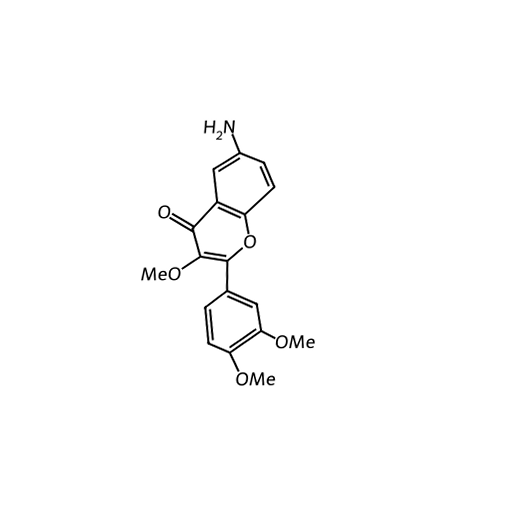 COc1ccc(-c2oc3ccc(N)cc3c(=O)c2OC)cc1OC